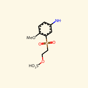 COc1ccc([NH])cc1S(=O)(=O)CCOS(=O)(=O)O